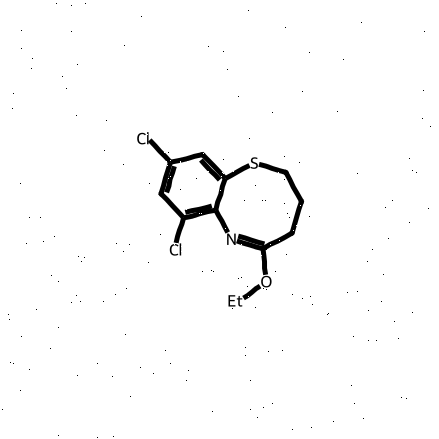 CCO/C1=N/c2c(Cl)cc(Cl)cc2SCCC1